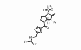 CC(C)C(NCc1nc(C(=O)N2CC=C3[C@H]2[C@@H](C(C)C)C(=O)N3S(C)(=O)=O)cs1)C(C)C